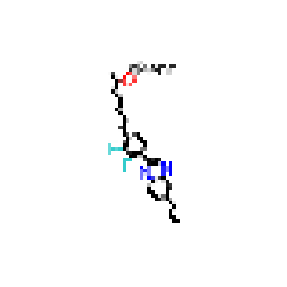 C=CCc1ccc2nc(-c3ccc(/C=C/CCCC(C)OCCCCC)c(F)c3F)cnc2c1